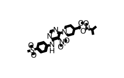 CC(C)N1OOC(C2CCN(c3ncnc(Nc4ccc(S(C)(=O)=O)cc4)c3[N+](=O)[O-])CC2)O1